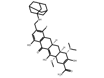 CO[C@@]12CC(C(N)=O)=C(O)[C@@H](N(C)C)[C@@H]1C[C@@H]1Cc3c(F)c(CNC45CC6CC(CC(C6)C4)C5)cc(O)c3C(=O)C1=C2O